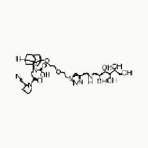 N#CC1CCCN1C(=O)CN(C(=O)O)C12CC3C[C@H](CC(OCCOCCn4cc(CNC[C@H](O)[C@@H](O)[C@H](O)[C@H](O)CO)nn4)(C3)C1)C2